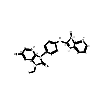 CCn1c(=O)n(-c2ccc(Oc3nc4cccnc4n3C)cc2)c2ncc(F)cc21